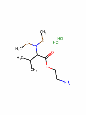 CSN(SC)C(C(=O)OCCN)C(C)C.Cl.Cl